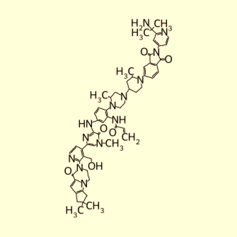 C=CC(=O)Nc1cc(Nc2nc(-c3ccnc(N4CCn5c(cc6c5CC(C)(C)C6)C4=O)c3CO)cn(C)c2=O)ccc1N1CCN(C2CCN(c3ccc4c(c3)C(=O)N(c3ccnc(C(C)(C)N)c3)C4=O)[C@H](C)C2)C[C@@H]1C